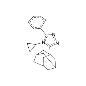 c1ccc(-c2nnc(C34CC5CC(CC(C5)C3)C4)n2C2CC2)cc1